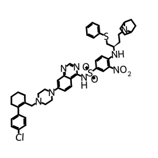 O=[N+]([O-])c1cc(S(=O)(=O)Nc2ncnc3cc(N4CCN(CC5=C(c6ccc(Cl)cc6)CCCC5)CC4)ccc23)ccc1N[C@H](CCN1C2CCC1CC2)CSc1ccccc1